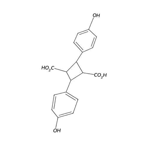 O=C(O)C1C(c2ccc(O)cc2)C(C(=O)O)C1c1ccc(O)cc1